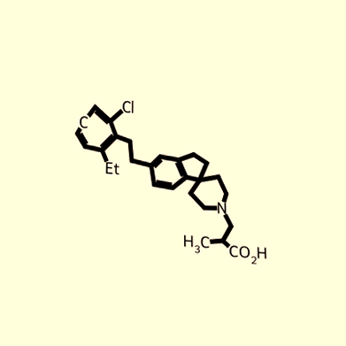 CCC1=C(CCc2ccc3c(c2)CCC32CCN(CC(C)C(=O)O)CC2)C(Cl)=CCC=C1